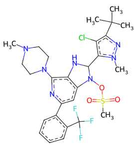 CN1CCN(c2nc(-c3ccccc3C(F)(F)F)cc3c2NC(c2c(Cl)c(C(C)(C)C)nn2C)N3OS(C)(=O)=O)CC1